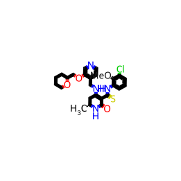 COc1c(Cl)cccc1NC(=S)C1=C(NCc2ccncc2OCC2CCCCO2)C[C@@H](C)NC1=O